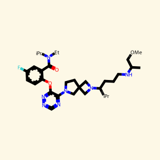 CCN(C(=O)c1cc(F)ccc1Oc1nncnc1N1CCC2(C1)CN(C(CCCNC(C)COC)C(C)C)C2)C(C)C